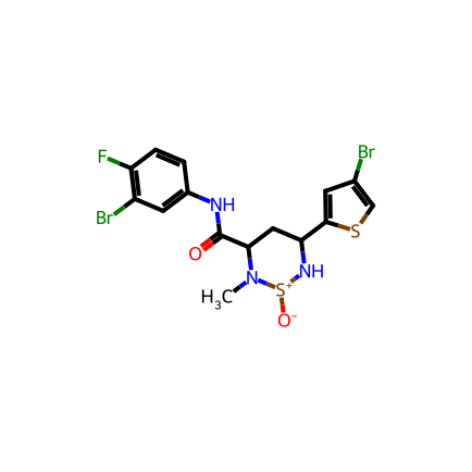 CN1C(C(=O)Nc2ccc(F)c(Br)c2)CC(c2cc(Br)cs2)N[S+]1[O-]